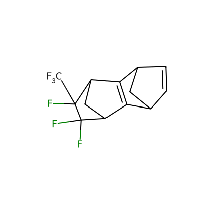 FC(F)(F)C1(F)C2CC(C3=C2C2C=CC3C2)C1(F)F